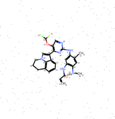 C=CC(=O)Nc1cc(Nc2ncc(OC(F)F)c(-c3cn4c5c(cccc35)CCC4)n2)c(C)cc1N(C)CCC